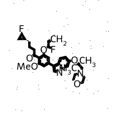 C=CC(F)Oc1cc(-c2cnn3cc(OC(C)(C)CN4CCOCC4)ccc23)cc(OC)c1C(=O)CCC[C@@H]1C[C@@H]1F